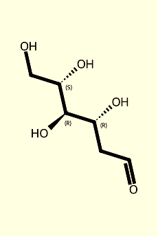 O=CC[C@@H](O)[C@@H](O)[C@@H](O)CO